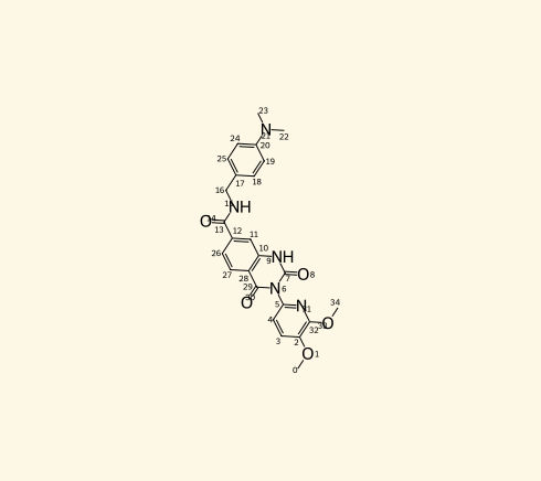 COc1ccc(-n2c(=O)[nH]c3cc(C(=O)NCc4ccc(N(C)C)cc4)ccc3c2=O)nc1OC